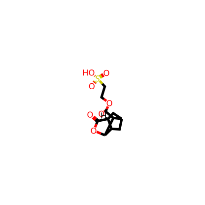 O=C(OCCS(=O)(=O)O)C1C2CC3C1OC(=O)[C@H]3C2